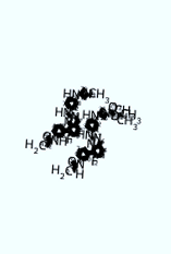 C=CC(=O)Nc1cccc(-c2c(F)ccc3cnc(Nc4ccc(NC5CN(C(=O)OC(C)(C)C)C5)cc4)nc23)c1.C=CC(=O)Nc1cccc(-c2c(F)ccc3cnc(Nc4ccc(NC5CN(C)C5)cc4)nc23)c1